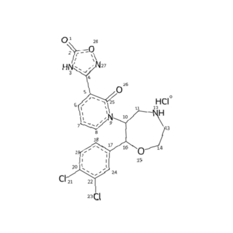 Cl.O=c1[nH]c(-c2cccn(C3CNCCOC3c3ccc(Cl)c(Cl)c3)c2=O)no1